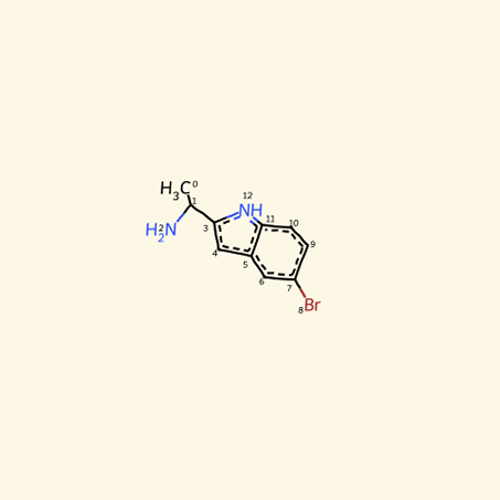 CC(N)c1cc2cc(Br)ccc2[nH]1